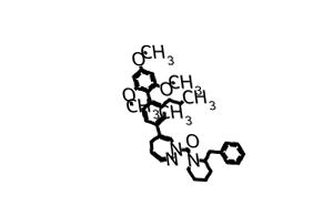 C\C=C(/C=C\C(=C\CCC)c1c(OC)cc(OC)cc1OC)C1=CN(C(=O)N2CCCCC2Cc2ccccc2)N=C=CC1